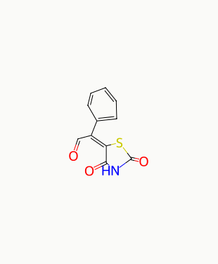 O=CC(=C1SC(=O)NC1=O)c1ccccc1